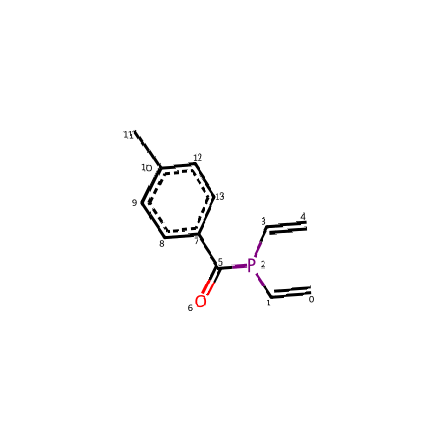 C=CP(C=C)C(=O)c1ccc(C)cc1